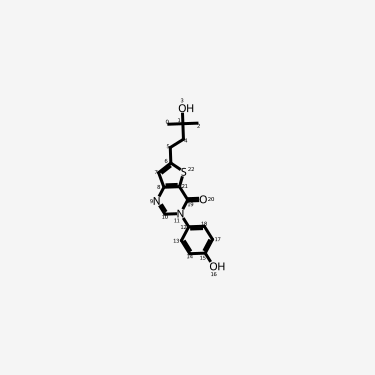 CC(C)(O)CCc1cc2ncn(-c3ccc(O)cc3)c(=O)c2s1